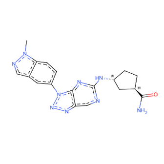 Cn1ncc2cc(-n3nnc4cnc(N[C@@H]5CC[C@@H](C(N)=O)C5)nc43)ccc21